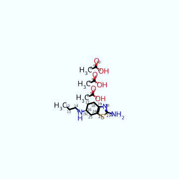 CC(=O)O.CC(=O)O.CC(=O)O.CCCN[C@H]1CCc2nc(N)sc2C1